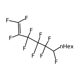 CCCCCCC(F)C(F)(F)C(F)(F)C(F)(F)C(F)=C(F)F